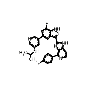 CC(C)Nc1cncc(-c2cc(F)c3[nH]nc(-c4nc5c(-c6ccc(F)cc6)nccc5[nH]4)c3c2)c1